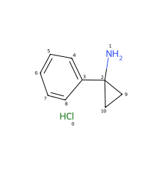 Cl.NC1(c2ccccc2)CC1